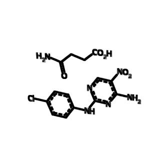 NC(=O)CCC(=O)O.Nc1nc(Nc2ccc(Cl)cc2)ncc1[N+](=O)[O-]